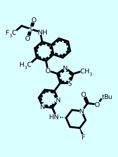 Cc1nc(Oc2c(C)cc(NS(=O)(=O)CC(F)(F)F)c3ccccc23)c(-c2ccnc(N[C@H]3C[C@H](F)CN(C(=O)OC(C)(C)C)C3)n2)s1